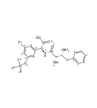 N[C@H](Cc1ccccc1)[C@H](O)C(=O)N[C@H](C(=O)O)c1cc(F)cc(OC(F)(F)F)c1